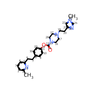 Cc1cccc(CCc2ccc(OC(=O)N3CCN(CCc4cn(C)cn4)CC3)cc2)n1